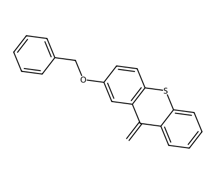 C=C1c2ccccc2Sc2ccc(OCc3ccccc3)cc21